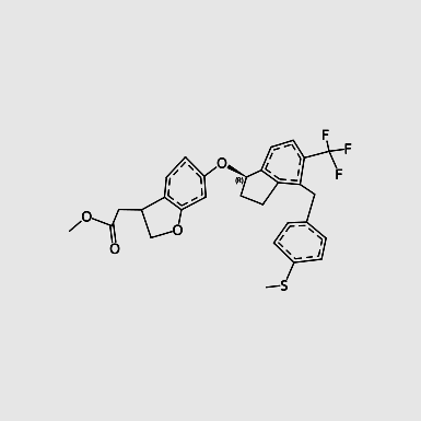 COC(=O)CC1COc2cc(O[C@@H]3CCc4c3ccc(C(F)(F)F)c4Cc3ccc(SC)cc3)ccc21